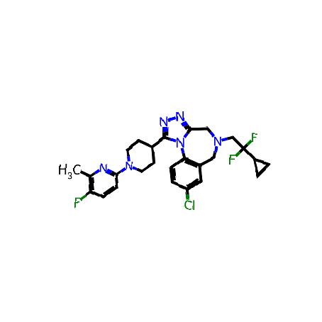 Cc1nc(N2CCC(c3nnc4n3-c3ccc(Cl)cc3CN(CC(F)(F)C3CC3)C4)CC2)ccc1F